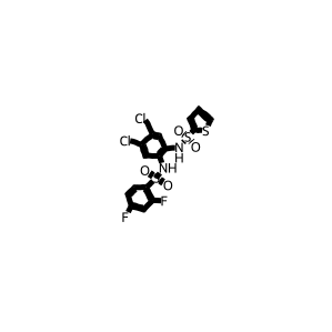 O=S(=O)(Nc1cc(Cl)c(Cl)cc1NS(=O)(=O)c1ccc(F)cc1F)c1cccs1